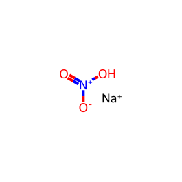 O=[N+]([O-])O.[Na+]